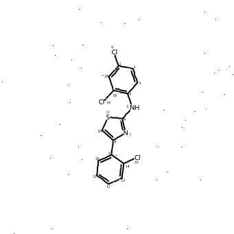 Clc1ccc(Nc2nc(-c3ccccc3Cl)cs2)c(Cl)c1